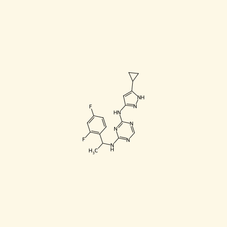 CC(Nc1ncnc(Nc2cc(C3CC3)[nH]n2)n1)c1ccc(F)cc1F